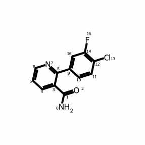 NC(=O)c1cccnc1-c1ccc(Cl)c(F)c1